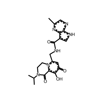 Cc1cnc2[nH]cc(C(=O)NCc3cc(=O)c(O)c4n3CCN(C(C)C)C4=O)c2n1